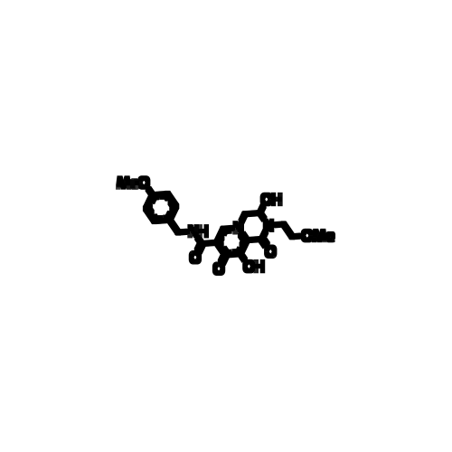 COCCN1C(=O)c2c(O)c(=O)c(C(=O)NCc3ccc(OC)cc3)cn2CC1O